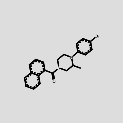 CC1CN(C(=O)c2cccc3ccccc23)CCN1c1ccc(Br)cc1